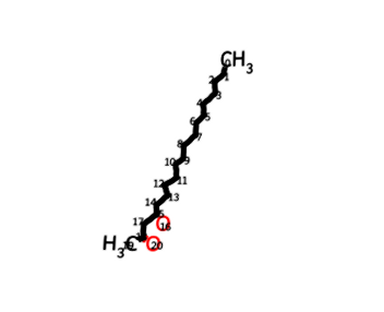 CCCCCCCCCCCCCCCC(=O)CC(C)=O